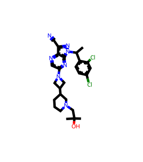 CC(c1ccc(Cl)cc1Cl)n1nc(C#N)c2ncc(N3CC(C4CCCN(CC(C)(C)O)C4)C3)nc21